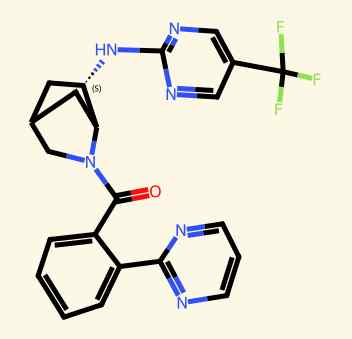 O=C(c1ccccc1-c1ncccn1)N1CC2CC1[C@@H](Nc1ncc(C(F)(F)F)cn1)C2